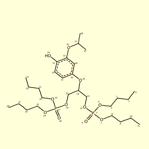 CCCCOP(=O)(OCCCC)OCC(COP(=O)(OCCCC)OCCCC)Oc1ccc(O)c(OC(C)C)c1